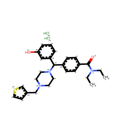 CCN(CC)C(=O)c1ccc(C(c2cccc(O)c2)N2CCN(Cc3ccsc3)CC2)cc1.Cl.Cl